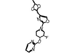 CC1OC(c2coc(N3CC[C@H](Oc4ncccn4)[C@H](F)C3)n2)O1